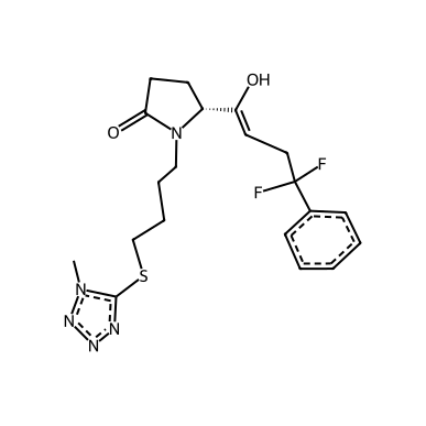 Cn1nnnc1SCCCCN1C(=O)CC[C@@H]1C(O)=CCC(F)(F)c1ccccc1